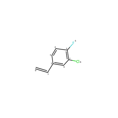 C=[C]c1ccc(F)c(Cl)c1